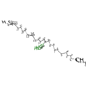 CCCCCCCCCCCCCCCCCCCCCCC[SiH3].Cl.Cl